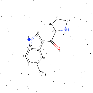 Cc1ccc2[nH]cc(C(=O)C3CCCN3)c2c1